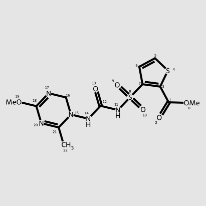 COC(=O)c1sccc1S(=O)(=O)NC(=O)NN1CN=C(OC)N=C1C